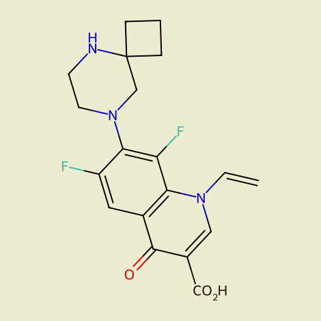 C=Cn1cc(C(=O)O)c(=O)c2cc(F)c(N3CCNC4(CCC4)C3)c(F)c21